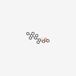 c1ccc(-c2c3ccccc3c(-c3ccc(-c4cc5sc6c(ccc7c8ccccc8oc76)c5c5ccccc45)c4ccccc34)c3ccccc23)cc1